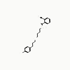 N#Cc1ccccc1C(=O)NCCCCOCCCc1ccc(Cl)cc1